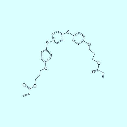 C=CC(=O)OCCCOc1ccc(Sc2ccc(Sc3ccc(OCCCOC(=O)C=C)cc3)cc2)cc1